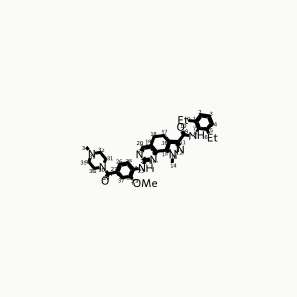 CCc1cccc(CC)c1NC(=O)c1nn(C)c2c1CCc1cnc(Nc3ccc(C(=O)N4CCN(C)CC4)cc3OC)nc1-2